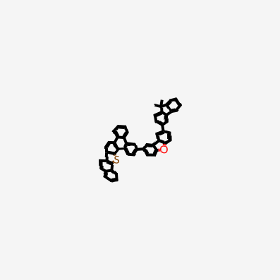 CC1(C)c2ccccc2-c2cc(-c3ccc4oc5ccc(-c6ccc7c(c6)c6ccccc6c6ccc8c9ccc%10ccccc%10c9sc8c67)cc5c4c3)ccc21